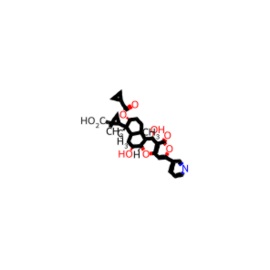 CC1(C(=O)O)CC1[C@@]1(C)C2C[C@H](O)[C@@H]3Oc4cc(-c5cccnc5)oc(=O)c4[C@@H](O)C3[C@@]2(C)CC[C@@H]1OC(=O)C1CC1